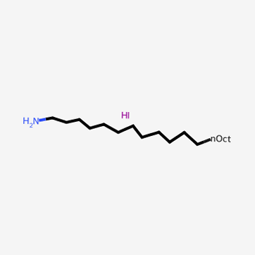 CCCCCCCCCCCCCCCCCCCCN.I